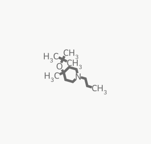 CCCN1CCC(C)(OC(C)(C)C)CC1